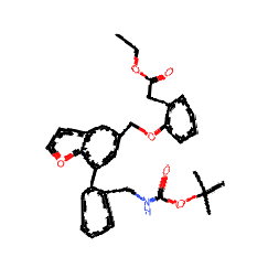 CCOC(=O)Cc1ccccc1OCc1cc(-c2ccccc2CNC(=O)OC(C)(C)C)c2occc2c1